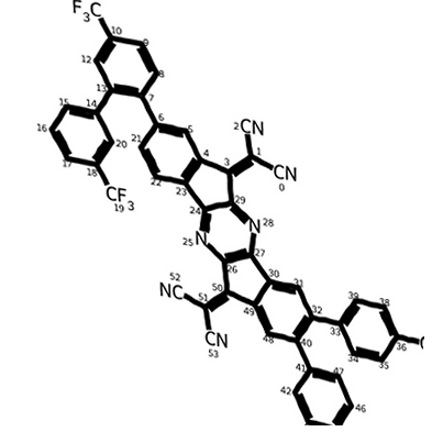 N#CC(C#N)=C1c2cc(-c3ccc(C(F)(F)F)cc3-c3cccc(C(F)(F)F)c3)ccc2-c2nc3c(nc21)-c1cc(-c2ccc(C(F)(F)F)cc2)c(-c2ccc(C(F)(F)F)cc2)cc1C3=C(C#N)C#N